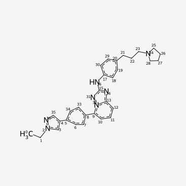 CCn1cc(-c2ccc(-c3cccc4nc(Nc5ccc(CCCN6CCCC6)cc5)nn34)cc2)cn1